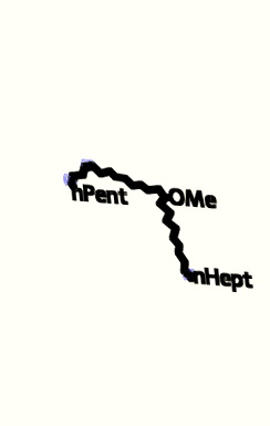 CCCCC/C=C\C/C=C\CCCCCCCCC(CCCCCCCC/C=C\CCCCCCC)OC